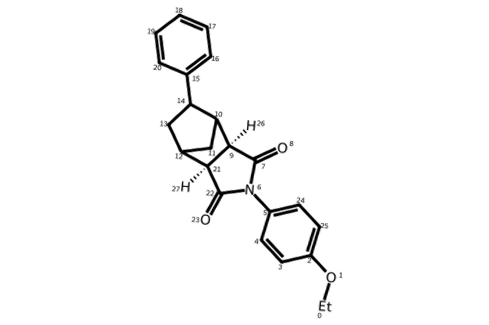 CCOc1ccc(N2C(=O)[C@@H]3C4CC(CC4c4ccccc4)[C@@H]3C2=O)cc1